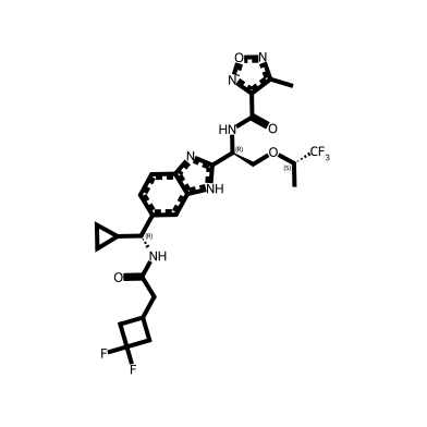 Cc1nonc1C(=O)N[C@@H](CO[C@@H](C)C(F)(F)F)c1nc2ccc([C@H](NC(=O)CC3CC(F)(F)C3)C3CC3)cc2[nH]1